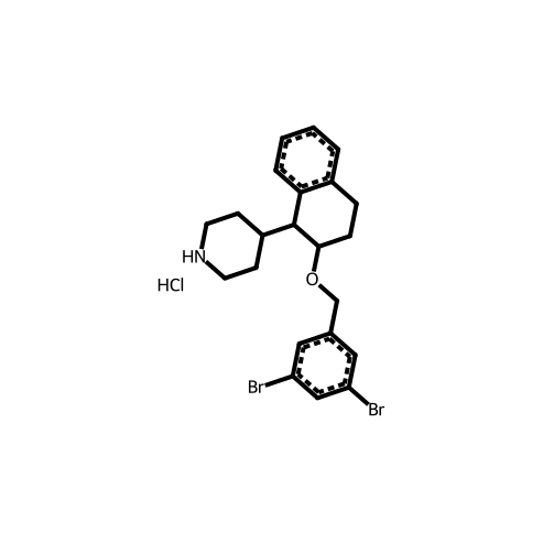 Brc1cc(Br)cc(COC2CCc3ccccc3C2C2CCNCC2)c1.Cl